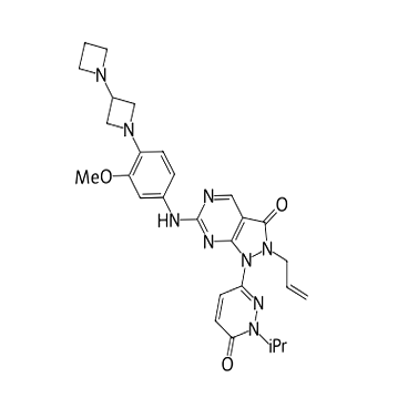 C=CCn1c(=O)c2cnc(Nc3ccc(N4CC(N5CCC5)C4)c(OC)c3)nc2n1-c1ccc(=O)n(C(C)C)n1